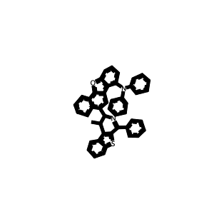 CC1c2c(sc3ccccc23)C(c2ccccc2)=NC1c1cc2c(oc3cccc(N(c4ccccc4)c4ccccc4)c32)c2ccccc12